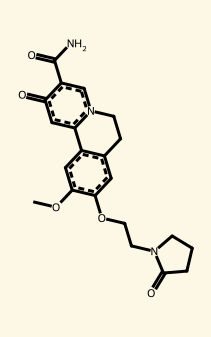 COc1cc2c(cc1OCCN1CCCC1=O)CCn1cc(C(N)=O)c(=O)cc1-2